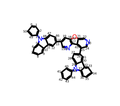 c1ccc(-n2c3ccccc3c3cc(-c4cnc5c(c4)oc4cncc(-c6ccc7c(c6)c6ccccc6n7-c6ccccc6)c45)ccc32)cc1